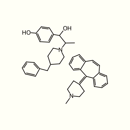 CC(C(O)c1ccc(O)cc1)N1CCC(Cc2ccccc2)CC1.CN1CCC(=C2c3ccccc3C=Cc3ccccc32)CC1